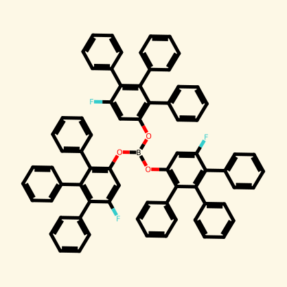 Fc1cc(OB(Oc2cc(F)c(-c3ccccc3)c(-c3ccccc3)c2-c2ccccc2)Oc2cc(F)c(-c3ccccc3)c(-c3ccccc3)c2-c2ccccc2)c(-c2ccccc2)c(-c2ccccc2)c1-c1ccccc1